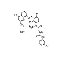 CC(=O)c1cccc(NC(=O)NCC(=O)N(C)c2ccc(Cl)c(COc3cccc4c(Cl)cc(C)nc34)c2Cl)c1.Cl